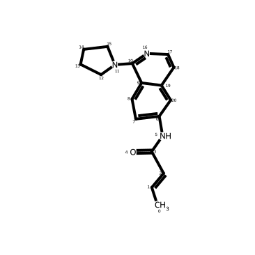 C/C=C/C(=O)Nc1ccc2c(N3CCCC3)nccc2c1